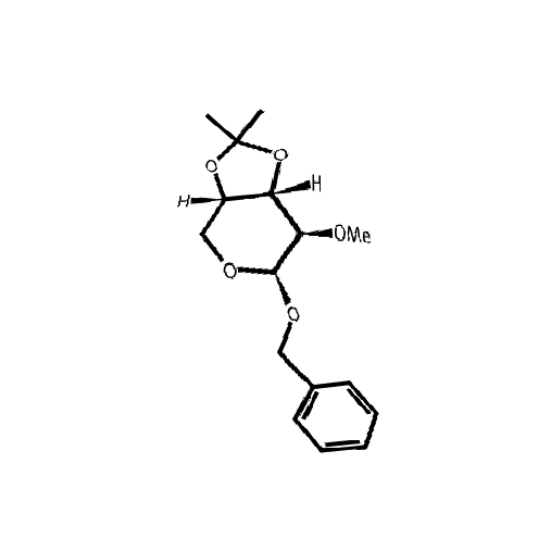 CO[C@H]1[C@@H](OCc2ccccc2)OC[C@@H]2OC(C)(C)O[C@H]12